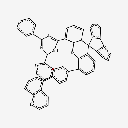 C1=CC2C(Oc3c(-c4ccc(-c5cccc6ncccc56)cc4)cccc3C23c2ccccc2-c2ccccc23)C(C2=NC(c3ccccc3)=NC(c3ccccc3)N2)=C1